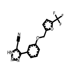 N#Cc1[nH]nnc1-c1cccc(OCc2ccc(C(F)(F)F)o2)c1